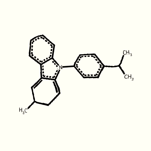 CC1C=c2c(n(-c3ccc(C(C)C)cc3)c3ccccc23)=CC1